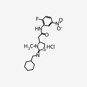 CN1C(=NCC2CCCCC2)SCC1CC(=O)Nc1cc([N+](=O)[O-])ccc1F.Cl